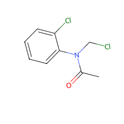 CC(=O)N(CCl)c1ccccc1Cl